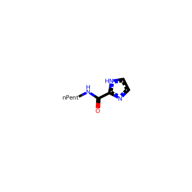 CCCCCNC(=O)c1ncc[nH]1